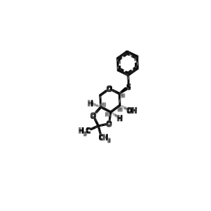 CC1(C)O[C@@H]2[C@@H](O)[C@H](Sc3ccccc3)OC[C@@H]2O1